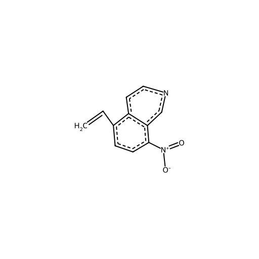 C=Cc1ccc([N+](=O)[O-])c2cnccc12